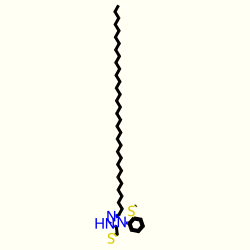 CCCCCCCCCCCCCCCCCCCCCCCCCCCCCCCCCC1=NNC(C=S)N1c1ccccc1SC